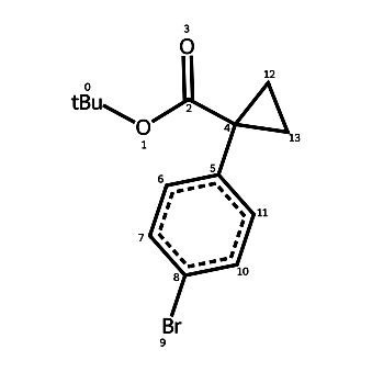 CC(C)(C)OC(=O)C1(c2ccc(Br)cc2)CC1